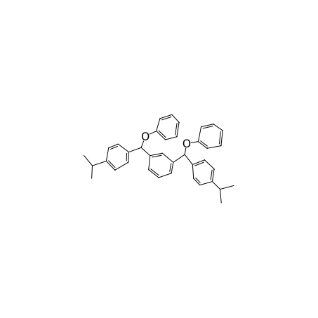 CC(C)c1ccc(C(Oc2ccccc2)c2cccc(C(Oc3ccccc3)c3ccc(C(C)C)cc3)c2)cc1